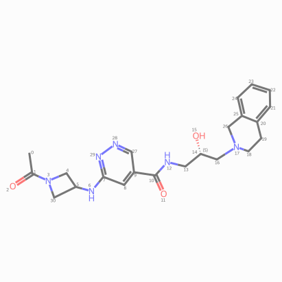 CC(=O)N1CC(Nc2cc(C(=O)NC[C@H](O)CN3CCc4ccccc4C3)cnn2)C1